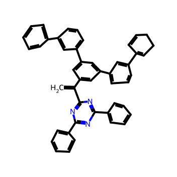 C=C(c1cc(-c2cccc(C3=CCCC=C3)c2)cc(-c2cccc(-c3ccccc3)c2)c1)c1nc(-c2ccccc2)nc(-c2ccccc2)n1